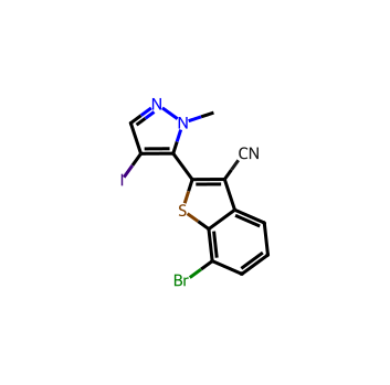 Cn1ncc(I)c1-c1sc2c(Br)cccc2c1C#N